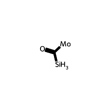 O=[C]([SiH3])[Mo]